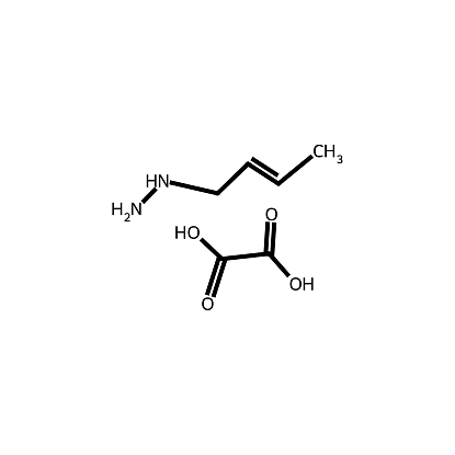 CC=CCNN.O=C(O)C(=O)O